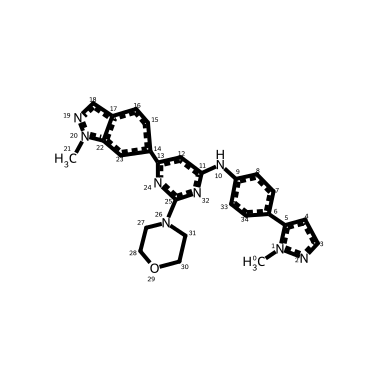 Cn1nccc1-c1ccc(Nc2cc(-c3ccc4cnn(C)c4c3)nc(N3CCOCC3)n2)cc1